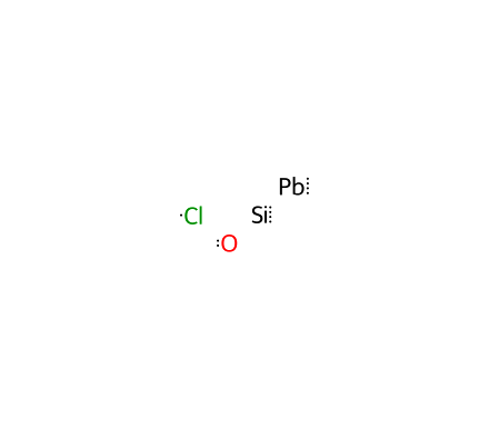 [Cl].[O].[Pb].[Si]